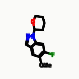 COc1cc2cnn(C3CCCCO3)c2cc1F